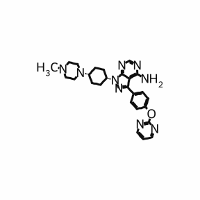 CN1CCN([C@H]2CC[C@@H](n3nc(-c4ccc(Oc5ncccn5)cc4)c4c(N)ncnc43)CC2)CC1